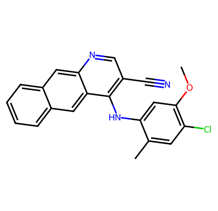 COc1cc(Nc2c(C#N)cnc3cc4ccccc4cc23)c(C)cc1Cl